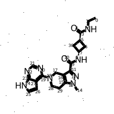 CCNC(=O)[C@H]1C[C@H](NC(=O)c2nn(C)c3c2CN(c2ncnc4[nH]ccc24)CC3)C1